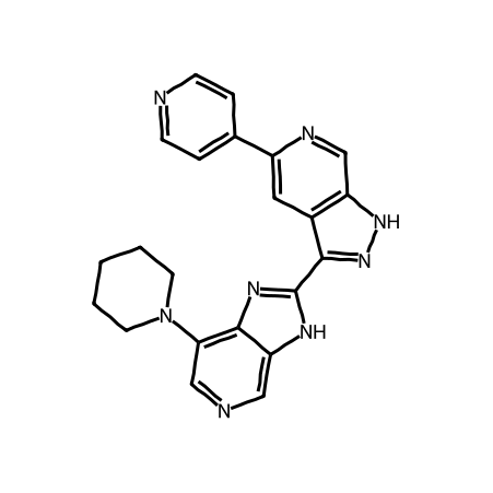 c1cc(-c2cc3c(-c4nc5c(N6CCCCC6)cncc5[nH]4)n[nH]c3cn2)ccn1